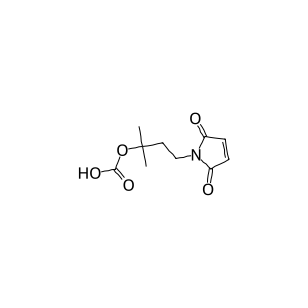 CC(C)(CCN1C(=O)C=CC1=O)OC(=O)O